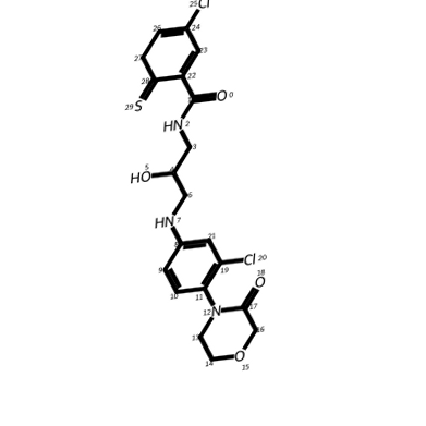 O=C(NCC(O)CNc1ccc(N2CCOCC2=O)c(Cl)c1)C1=CC(Cl)=CCC1=S